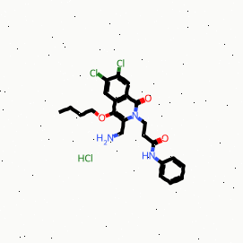 CCCCOc1c(CN)n(CCC(=O)Nc2ccccc2)c(=O)c2cc(Cl)c(Cl)cc12.Cl